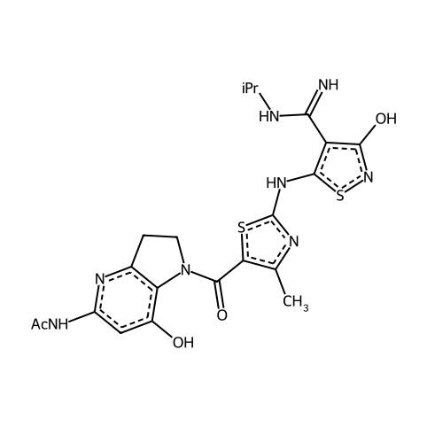 CC(=O)Nc1cc(O)c2c(n1)CCN2C(=O)c1sc(Nc2snc(O)c2C(=N)NC(C)C)nc1C